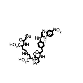 CC(C)CC(NC(=O)Cc1ccc(N/C(=C/[N+](=O)[O-])Nc2ccc([N+](=O)[O-])cc2)cc1)C(=O)NC(CNCCC(NC(=O)CC(C)(C)C)C(=O)O)C(=O)O